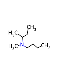 CCCCN(C)C(C)CC